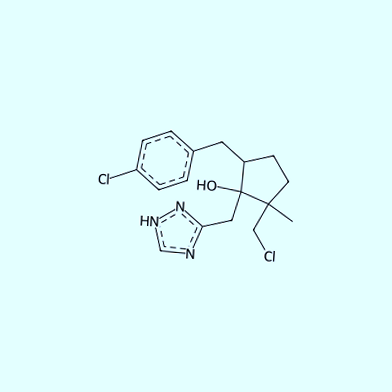 CC1(CCl)CCC(Cc2ccc(Cl)cc2)C1(O)Cc1nc[nH]n1